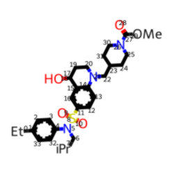 CCc1ccc(N(CC(C)C)S(=O)(=O)c2ccc3c(c2)C(O)CCN3CC2CCN(C(=O)OC)CC2)cc1